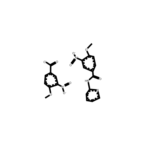 COc1ccc(C(=O)Cl)cc1[N+](=O)[O-].COc1ccc(C(=O)Nc2ccccn2)cc1[N+](=O)[O-]